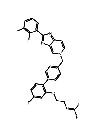 FC(F)=CCCOc1cc(F)ccc1-c1ccc(Cn2ccc3nc(-c4cccc(F)c4F)nc-3c2)cc1